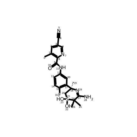 Cc1cc(C#N)cnc1C(=O)Nc1ccc(F)c([C@]2(C)CS(O)(O)C(C)(C)C(N)=N2)c1